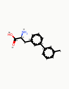 Cc1cccc(-c2cccc(C[C@H](N)C(=O)O)c2)c1